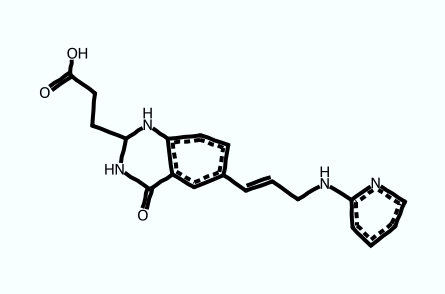 O=C(O)CCC1NC(=O)c2cc(/C=C/CNc3ccccn3)ccc2N1